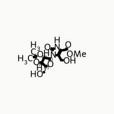 COC(=O)c1[nH]c(=O)n([C@@H]2O[C@H](CO)[C@H]3OC(C)(C)O[C@H]32)c1CO